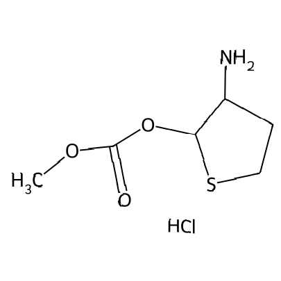 COC(=O)OC1SCCC1N.Cl